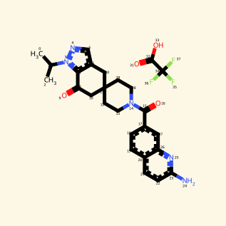 CC(C)n1ncc2c1C(=O)CC1(CCN(C(=O)c3ccc4ccc(N)nc4c3)CC1)C2.O=C(O)C(F)(F)F